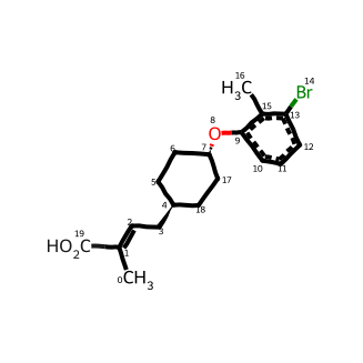 C/C(=C\C[C@H]1CC[C@H](Oc2cccc(Br)c2C)CC1)C(=O)O